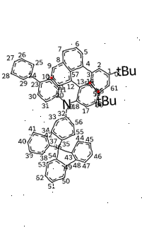 CC(C)(C)c1cc(-c2cccc3cccc(-c4ccccc4N(c4ccc(-c5ccccc5)cc4)c4ccc(C5(c6ccccc6)c6ccccc6-c6ccccc65)cc4)c23)cc(C(C)(C)C)c1